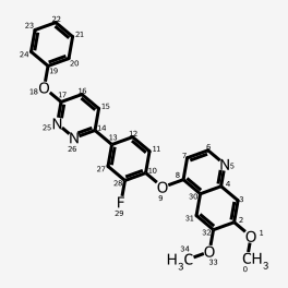 COc1cc2nccc(Oc3ccc(-c4ccc(Oc5ccccc5)nn4)cc3F)c2cc1OC